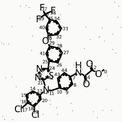 COC(=O)C(=O)Nc1ccc(CN(c2ccc(Cl)c(Cl)c2)c2nnc(-c3cccc(Oc4cccc(C(F)(F)F)c4)c3)s2)cc1